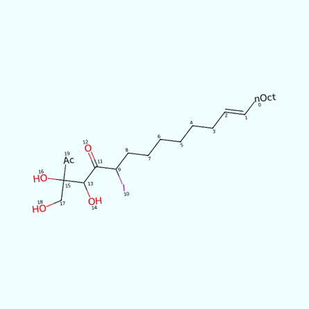 CCCCCCCCC=CCCCCCCC(I)C(=O)C(O)C(O)(CO)C(C)=O